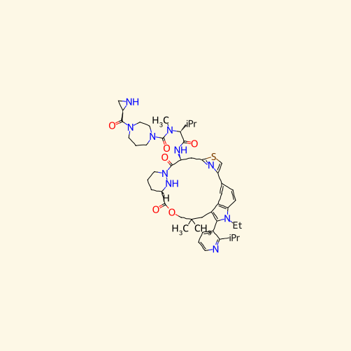 CCn1c(-c2cccnc2C(C)C)c2c3cc(ccc31)-c1csc(n1)C[C@H](NC(=O)[C@H](C(C)C)N(C)C(=O)N1CCCN(C(=O)[C@H]3CN3)CC1)C(=O)N1CCC[C@H](N1)C(=O)OCC(C)(C)C2